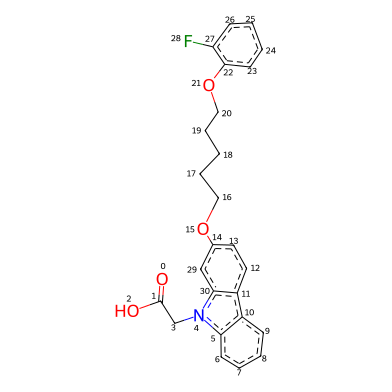 O=C(O)Cn1c2ccccc2c2ccc(OCCCCCOc3ccccc3F)cc21